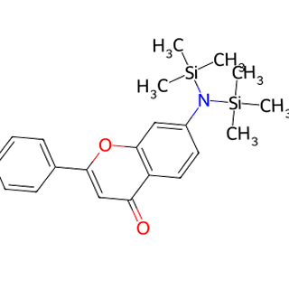 C[Si](C)(C)N(c1ccc2c(=O)cc(-c3ccccc3)oc2c1)[Si](C)(C)C